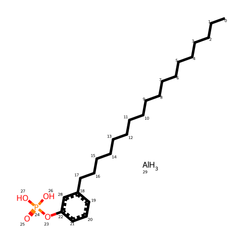 CCCCCCCCCCCCCCCCCCc1cccc(OP(=O)(O)O)c1.[AlH3]